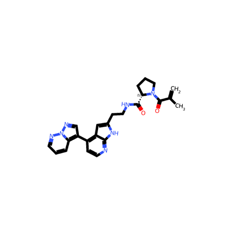 C=C(C)C(=O)N1CCC[C@H]1C(=O)NCCc1cc2c(-c3cnn4ncccc34)ccnc2[nH]1